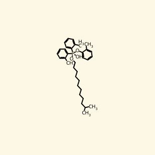 Cc1ccccc1OP(O)(OCCCCCCCCCCC(C)C)(c1ccccc1C)c1ccccc1C